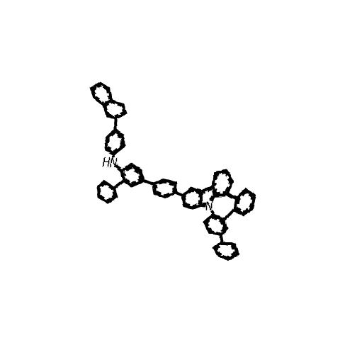 c1ccc(-c2ccc3c(c2)-c2ccccc2-c2cccc4c5cc(-c6ccc(-c7ccc(Nc8ccc(-c9ccc%10ccccc%10c9)cc8)c(-c8ccccc8)c7)cc6)ccc5n-3c24)cc1